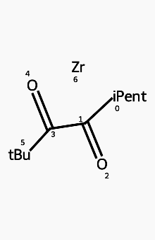 CCCC(C)C(=O)C(=O)C(C)(C)C.[Zr]